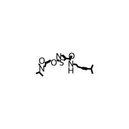 CC(C)C#CCCNC(=O)c1cnc(OC=C2CN(C(C)C)CO2)s1